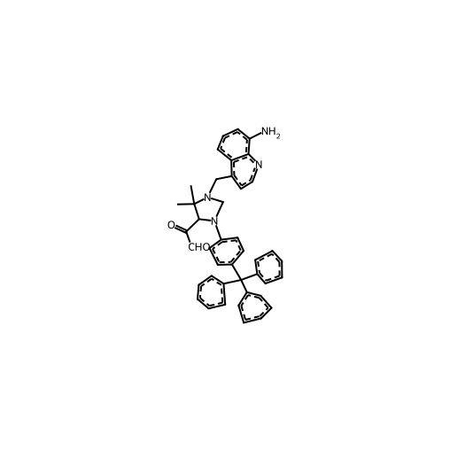 CC1(C)C(C(=O)C=O)N(c2ccc(C(c3ccccc3)(c3ccccc3)c3ccccc3)cc2)CN1Cc1ccnc2c(N)cccc12